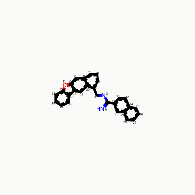 N=C(/N=C/c1cccc2cc3oc4ccccc4c3cc12)c1ccc2ccccc2c1